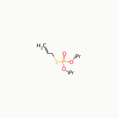 C=CCSP(=O)(OC(C)C)OC(C)C